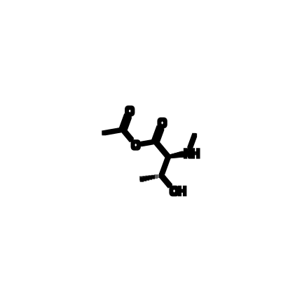 CN[C@H](C(=O)OC(C)=O)[C@@H](C)O